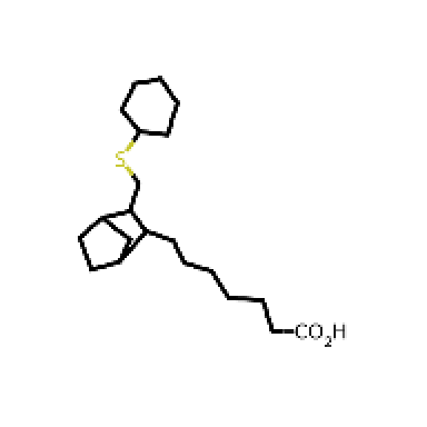 O=C(O)CCCCCCC1C2CCC(C2)C1CSC1CCCCC1